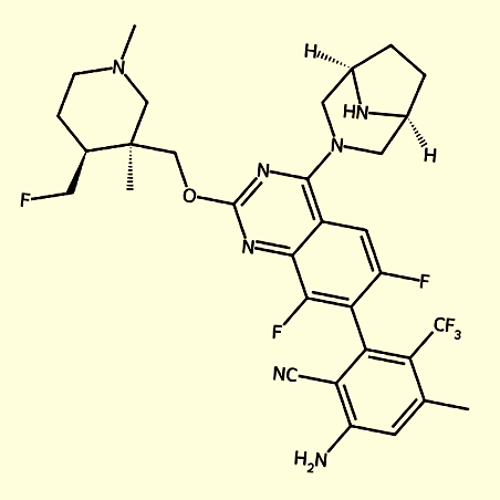 Cc1cc(N)c(C#N)c(-c2c(F)cc3c(N4C[C@H]5CC[C@@H](C4)N5)nc(OC[C@]4(C)CN(C)CC[C@@H]4CF)nc3c2F)c1C(F)(F)F